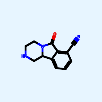 N#Cc1cccc2c1C(=O)N1CCNCC21